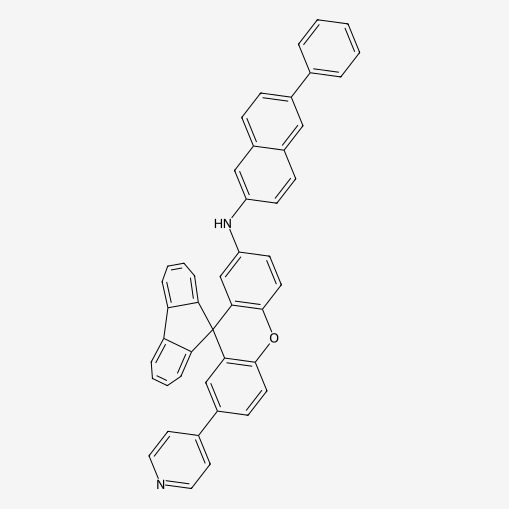 c1ccc(-c2ccc3cc(Nc4ccc5c(c4)C4(c6cc(-c7ccncc7)ccc6O5)c5ccccc5-c5ccccc54)ccc3c2)cc1